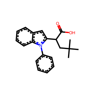 CC(C)(C)CC(C(=O)O)c1cc2ccccc2n1-c1ccccc1